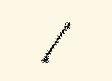 O=C(O)CCCCCCCCCCCCCCCCCCCCC[N+](=O)[O-]